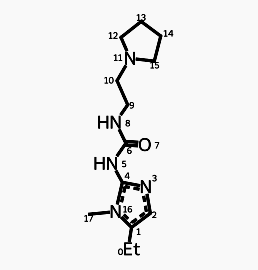 CCc1cnc(NC(=O)NCCN2CCCC2)n1C